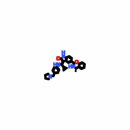 C[C@@H](NC(=O)c1ccc2c(c1)/C(=C(/Nc1ccc(CN3CCCC3)cc1)C1CC1)C(=O)N2)c1ccccc1